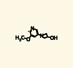 COc1[c]ncc(N2CC(O)C2)c1